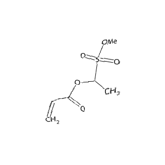 C=CC(=O)OC(C)S(=O)(=O)OC